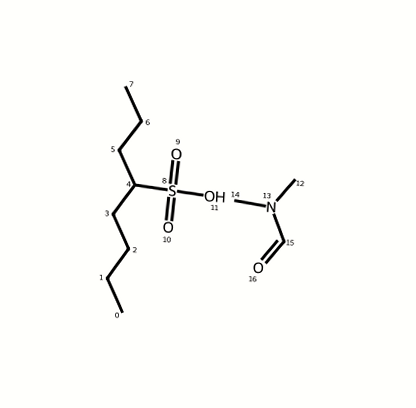 CCCCC(CCC)S(=O)(=O)O.CN(C)C=O